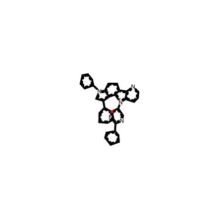 c1ccc(-c2ncc(-n3c4cccnc4c4ccc5c(c(-c6ccccc6)cn5-c5ccccc5)c43)cn2)cc1